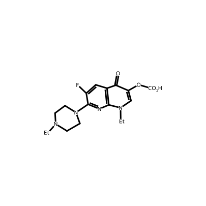 CCN1CCN(c2nc3c(cc2F)c(=O)c(OC(=O)O)cn3CC)CC1